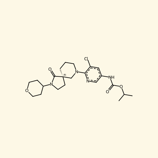 CC(C)OC(=O)Nc1cnc(N2CCC[C@@]3(CCN(C4CCOCC4)C3=O)C2)c(Cl)c1